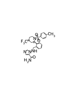 Cc1ccc(S(=O)(=O)N2CC[C@H](C(F)(F)F)C[C@@H]2c2ccccc2CNn2cncc2C(N)=O)cc1